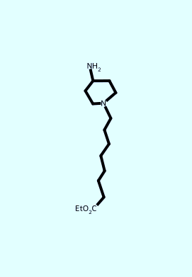 CCOC(=O)CCCCCCCN1CCC(N)CC1